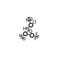 CS(=O)(=O)c1ccc(C(=O)Nc2ccc(Cl)c(-c3ncco3)c2)c(-c2ccc(C(F)(F)F)cc2)c1